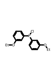 CCOc1cccc(P(Cl)c2cccc(OCC)c2)c1